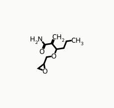 C=C(C(N)=O)C(CCC)OCC1CO1